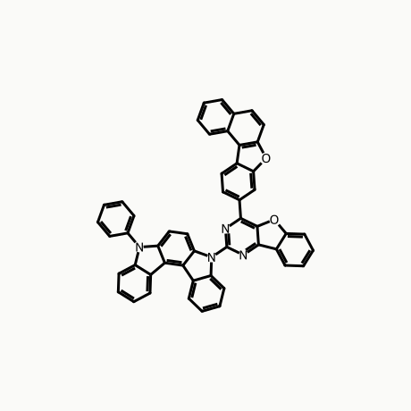 c1ccc(-n2c3ccccc3c3c4c5ccccc5n(-c5nc(-c6ccc7c(c6)oc6ccc8ccccc8c67)c6oc7ccccc7c6n5)c4ccc32)cc1